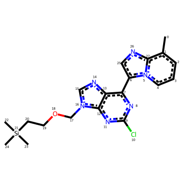 Cc1cccn2c(-c3nc(Cl)nc4c3ncn4COCC[Si](C)(C)C)cnc12